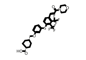 O=C(/C=C/c1ccc(Sc2cccc(OC[C@H]3CC[C@@H](C(=O)O)CC3)c2)c(C(F)(F)F)c1C(F)(F)F)N1CCOCC1